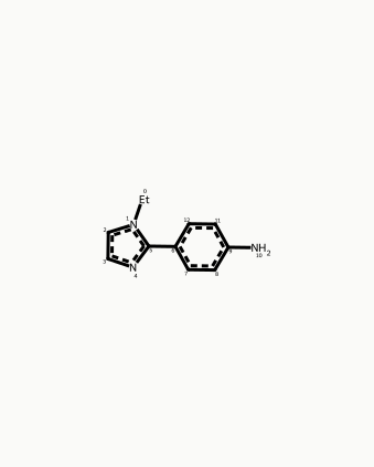 CCn1ccnc1-c1ccc(N)cc1